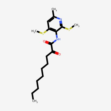 CCCCCCCCC(=O)C(=O)Nc1c(SC)cc(C)nc1SC